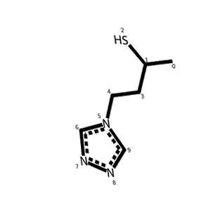 CC(S)CCn1cnnc1